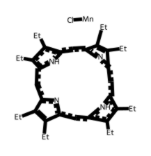 CCC1=C(CC)c2cc3[nH]c(cc4nc(cc5[nH]c(cc1n2)c(CC)c5CC)C(CC)=C4CC)c(CC)c3CC.[Cl][Mn]